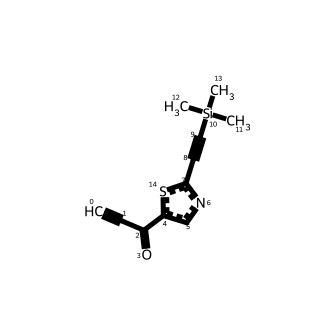 C#CC(=O)c1cnc(C#C[Si](C)(C)C)s1